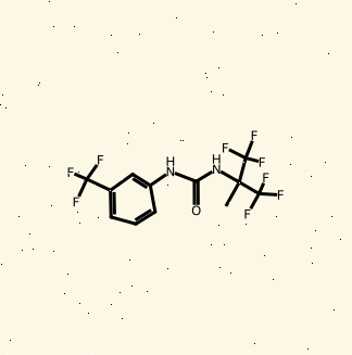 CC(NC(=O)Nc1cccc(C(F)(F)F)c1)(C(F)(F)F)C(F)(F)F